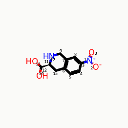 O=[N+]([O-])c1ccc2c(c1)CN[C@H](C(O)O)C2